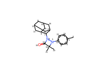 Cc1ccc(N2N(C3C4CC5CC(C4)CC3C5)C(=O)C2(C)C)cc1